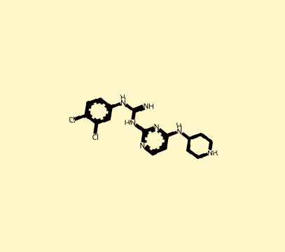 N=C(Nc1ccc(Cl)c(Cl)c1)Nc1nccc(NC2CCNCC2)n1